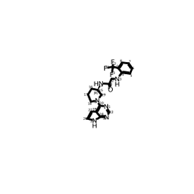 O=C(CNc1ccccc1C(F)(F)F)N[C@@H]1CCCN(c2ncnc3[nH]ccc23)C1